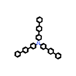 C1=CCCC(C2=CC=C(C3=CC=C(N(c4ccc(C5=CCC(c6ccccc6)C=C5)cc4)c4ccc(-c5ccc(-c6ccccc6)cc5)cc4)CC3)CC2)=C1